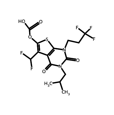 CC(C)Cn1c(=O)c2c(C(F)F)c(OC(=O)O)sc2n(CCC(F)(F)F)c1=O